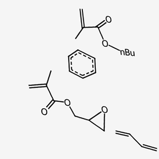 C=C(C)C(=O)OCC1CO1.C=C(C)C(=O)OCCCC.C=CC=C.c1ccccc1